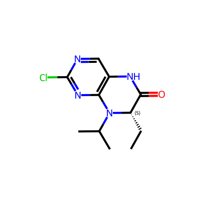 CC[C@H]1C(=O)Nc2cnc(Cl)nc2N1C(C)C